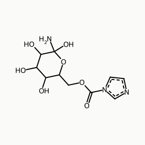 NC1(O)OC(COC(=O)n2ccnc2)C(O)C(O)C1O